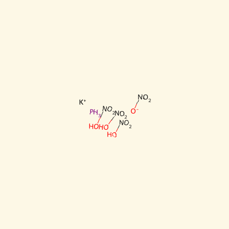 O=[N+]([O-])O.O=[N+]([O-])O.O=[N+]([O-])O.O=[N+]([O-])[O-].P.[K+]